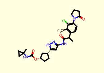 CC(C(=O)Nc1cc([C@@H]2CC[C@H](OC(=O)NC3(C)CC3)C2)[nH]n1)c1ccc(N2CCCC2=O)c(Cl)c1C(F)(F)F